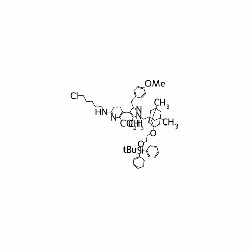 COc1ccc(Cc2nn(CC34CC5(C)CC(C)(C3)CC(OCCO[Si](c3ccccc3)(c3ccccc3)C(C)(C)C)(C5)C4)c(C)c2-c2ccc(NCCCCCCl)nc2C(=O)O)cc1